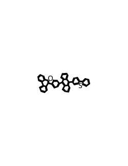 c1ccc2c(c1)sc1cc(-c3c4ccccc4c(-c4ccc5c(c4)oc4c6ccccc6c6ccccc6c54)c4ccccc34)ccc12